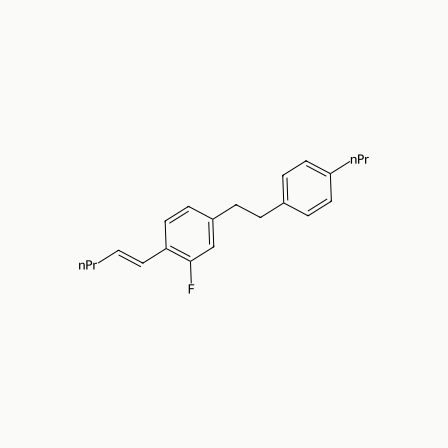 CCCC=Cc1ccc(CCc2ccc(CCC)cc2)cc1F